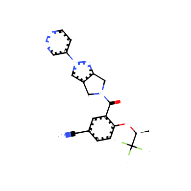 C[C@H](Oc1ccc(C#N)cc1C(=O)N1Cc2cn(-c3ccnnc3)nc2C1)C(F)(F)F